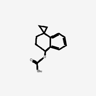 CC(C)(C)C(=O)OC1CCC2(CC2)c2ccccc21